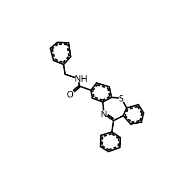 O=C(NCc1ccccc1)c1ccc2c(c1)N=C(c1ccccc1)c1ccccc1S2